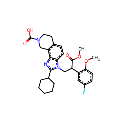 COC(=O)C(Cn1c(C2CCCCC2)nc2c3c(ccc21)CCN(C(=O)O)C3)c1cc(F)ccc1OC